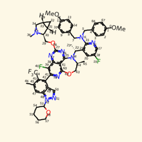 COc1ccc(CN(Cc2ccc(OC)cc2)c2ncc(F)cc2[C@@H](C)N2c3nc(OC[C@@H]4[C@H]5C[C@H]5CN4C)nc4c(F)c(-c5c(C(F)(F)F)c(C)cc6c5cnn6C5CCCCO5)nc(c34)OC[C@@H]2C)cc1